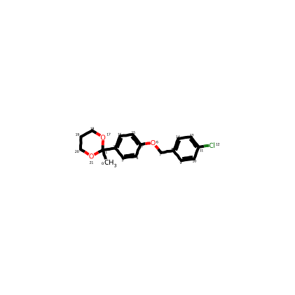 CC1(c2ccc(OCc3ccc(Cl)cc3)cc2)OCCCO1